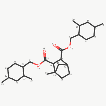 CC1CCC(COC(=O)C2C3CCC(C)(C3)C2C(=O)OCC2CCC(C)CC2C)C(C)C1